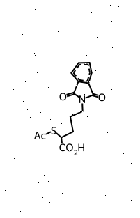 CC(=O)SC(CCCN1C(=O)c2ccccc2C1=O)C(=O)O